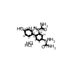 Cl.Cl.NC(=O)N(N)c1ccc(-c2ccc(O)cc2)c(N(N)C(N)=O)c1